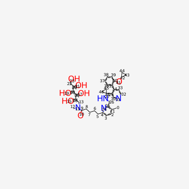 Cc1ccc(CCCCC(=O)N(C)C[C@H](O)[C@@H](O)[C@H](O)[C@H](O)CO)nc1CNC1(c2cnccc2-c2ccccc2OC2CC2)CC1